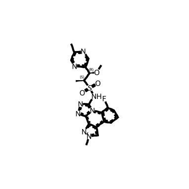 CO[C@H](c1cnc(C)cn1)[C@H](C)S(=O)(=O)Nc1nnc2c3nn(C)cc3c3cccc(F)c3n12